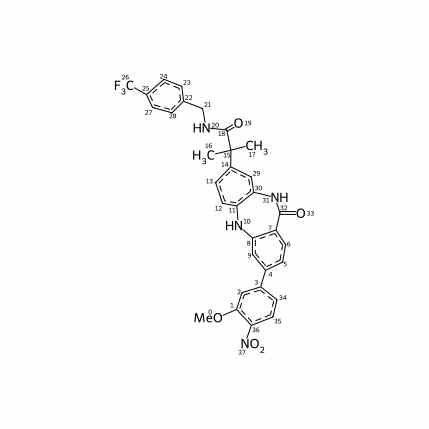 COc1cc(-c2ccc3c(c2)Nc2ccc(C(C)(C)C(=O)NCc4ccc(C(F)(F)F)cc4)cc2NC3=O)ccc1[N+](=O)[O-]